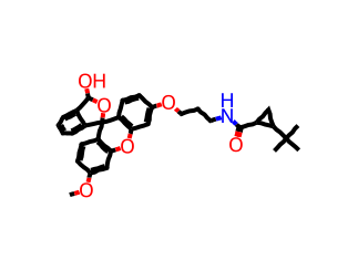 COc1ccc2c(c1)Oc1cc(OCCCNC(=O)C3CC3C(C)(C)C)ccc1C21OC(O)c2ccccc21